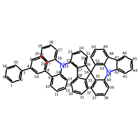 c1ccc(-c2cccc(-c3ccccc3N(c3ccccc3)c3cccc4c3-c3ccccc3C43c4ccccc4-n4c5ccccc5c5cccc3c54)c2)cc1